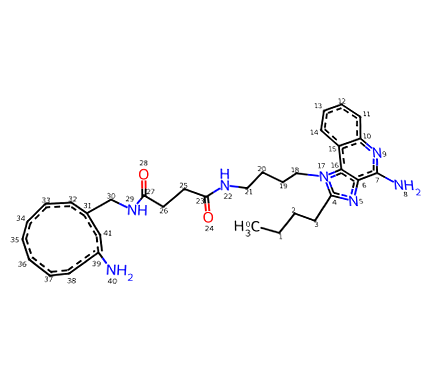 CCCCc1nc2c(N)nc3ccccc3c2n1CCCCNC(=O)CCC(=O)NCc1cccccccc(N)c1